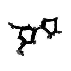 Fc1cc(F)cc([C@@H]2CCON2)c1